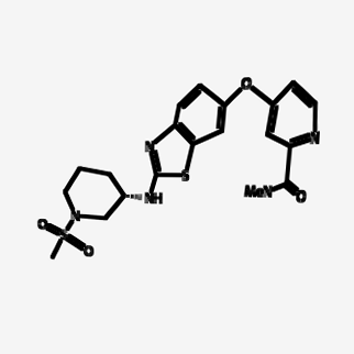 CNC(=O)c1cc(Oc2ccc3nc(N[C@H]4CCCN(S(C)(=O)=O)C4)sc3c2)ccn1